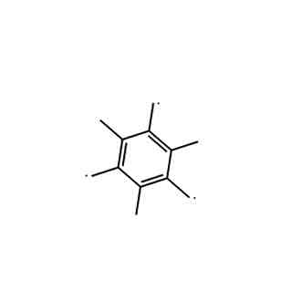 [CH2]c1c(C)c([CH2])c(C)c([CH2])c1C